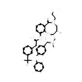 C[C@@H]1CN([C@@H](C)CO)C(=O)c2cccc(NC(=O)Cc3cccc(C(F)(F)F)c3)c2O[C@@H]1CN(C)Cc1ccc(Sc2ccccc2)cc1